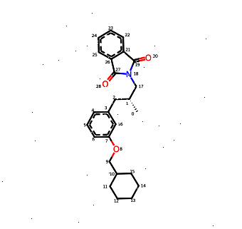 C[C@H](Cc1cccc(OCC2CCCCC2)c1)CN1C(=O)c2ccccc2C1=O